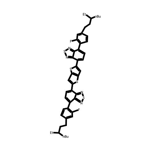 CCCCC(CC)CCc1ccc(-c2ccc(-c3cc4sc(-c5ccc(-c6ccc(CCC(CC)CCCC)cc6F)c6nsnc56)cc4s3)c3nsnc23)c(F)c1